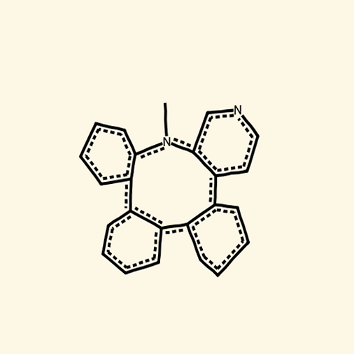 Cn1c2ccccc2c2ccccc2c2ccccc2c2ccncc21